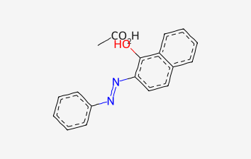 CC(=O)O.Oc1c(N=Nc2ccccc2)ccc2ccccc12